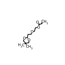 C=CC(=O)OCCOCCC1OCC(C)(C)CO1